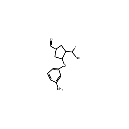 Nc1cccc(OC2CN(C=O)CC2C(N)F)c1